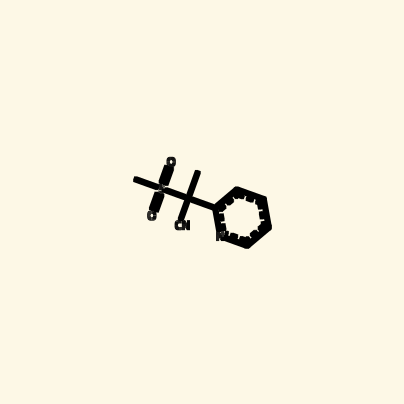 CC(C#N)(c1ccccn1)S(C)(=O)=O